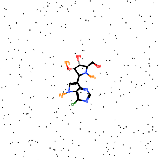 OC[C@@H]1[C@@H](O)[C@@H](OP)[C@H](c2cn(P)c3c(Cl)ncnc23)N1P